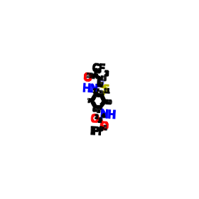 CC(C)OC(=O)Nc1ccc2c(c1)S/C(=C/C(=O)C(F)(F)F)N2